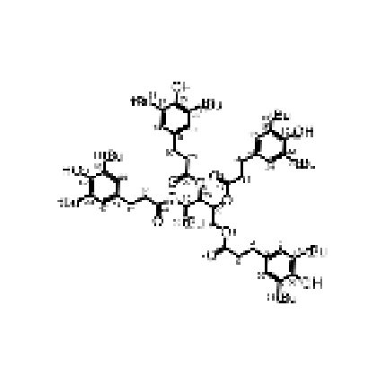 CC(C)(C)c1cc(CCC(=O)OCC(OC(=O)CCc2cc(C(C)(C)C)c(O)c(C(C)(C)C)c2)C(OC(=O)CCc2cc(C(C)(C)C)c(O)c(C(C)(C)C)c2)C(OC(=O)CCc2cc(C(C)(C)C)c(O)c(C(C)(C)C)c2)C(C)(C)C)cc(C(C)(C)C)c1O